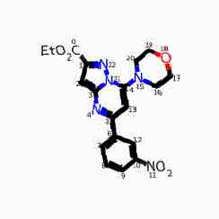 CCOC(=O)c1cc2nc(-c3cccc([N+](=O)[O-])c3)cc(N3CCOCC3)n2n1